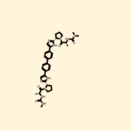 CNC(=O)N[C@@H](C)C(=O)N1CCC[C@H]1c1ncc(-c2ccc(-c3ccc(-c4cnc([C@@H]5CCCN5C(=O)[C@H](C)NC(=O)N(C)C)[nH]4)cc3)cc2)[nH]1